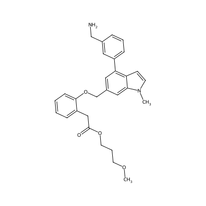 COCCCOC(=O)Cc1ccccc1OCc1cc(-c2cccc(CN)c2)c2ccn(C)c2c1